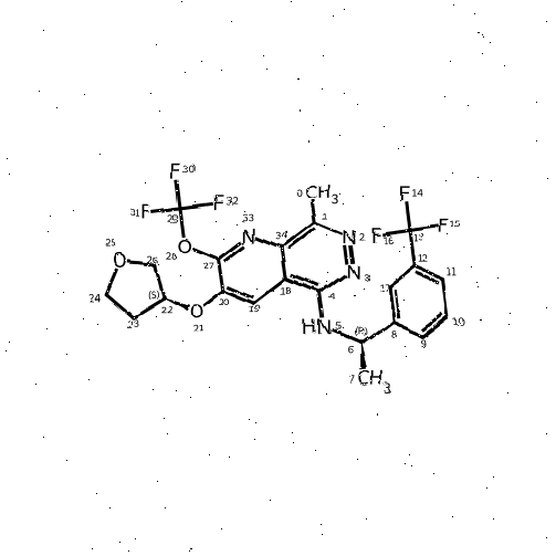 Cc1nnc(N[C@H](C)c2cccc(C(F)(F)F)c2)c2cc(O[C@H]3CCOC3)c(OC(F)(F)F)nc12